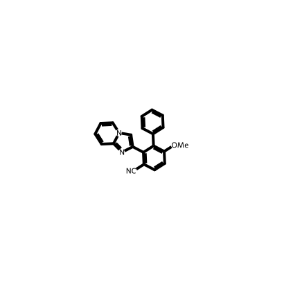 COc1ccc(C#N)c(-c2cn3ccccc3n2)c1-c1ccccc1